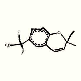 CC1(C)C=Cc2cc(C(F)(F)C(F)(F)F)ccc2O1